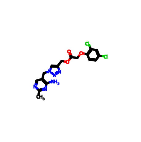 Cc1ncc(Cn2cc(COC(=O)COc3ccc(Cl)cc3Cl)nn2)c(N)n1